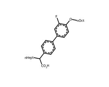 CCCCCCCCOc1ccc(-c2ccc(C(CCCCCCC)C(=O)O)cc2)cc1F